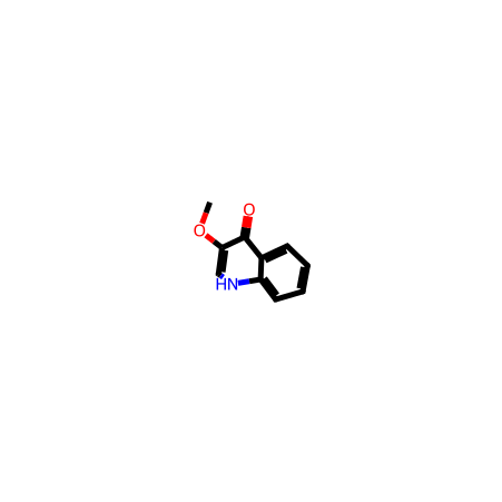 COc1c[nH]c2ccccc2c1=O